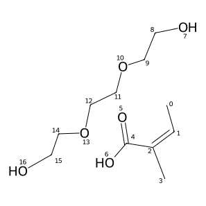 CC=C(C)C(=O)O.OCCOCCOCCO